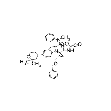 CN(C(=O)c1cc2cc([C@H]3CCOC(C)(C)C3)ccc2n1[C@@]1(C2=NOC(=C=O)N2)C[C@@H]1COCc1ccccc1)c1ccccc1